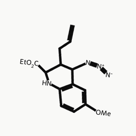 C=CCC1C(C(=O)OCC)Nc2ccc(OC)cc2C1N=[N+]=[N-]